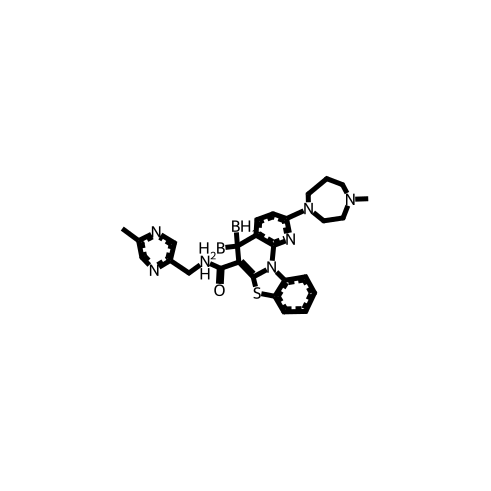 BC1(B)C(C(=O)NCc2cnc(C)cn2)=C2Sc3ccccc3N2c2nc(N3CCCN(C)CC3)ccc21